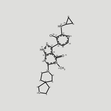 Cn1c(N2CCC3(CCOC3)CC2)nc2[nH]nc(-c3ccnc(NC4CC4)c3Cl)c2c1=O